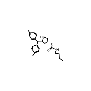 CCCCNC(=O)O[C@H]1CN[C@@H](C(c2ccc(C)cc2)c2ccc(C)cc2)C1